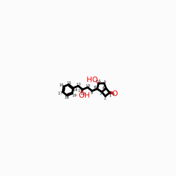 O=C1CC2C1CC(O)C2CCC(O)Cc1ccccc1